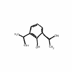 CC(O)c1cccc(C(C)O)c1O